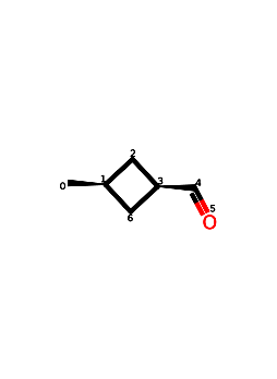 C[C@H]1C[C@@H](C=O)C1